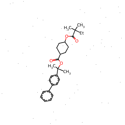 CCC(C)(C)C(=O)OC1CCC(C(=O)OC(C)(C)c2ccc(-c3ccccc3)cc2)CC1